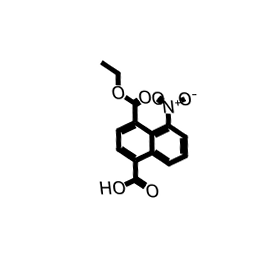 CCOC(=O)c1ccc(C(=O)O)c2cccc([N+](=O)[O-])c12